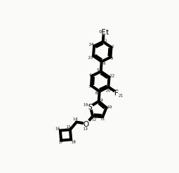 CCc1ccc(-c2ccc(-c3ccc(OCC4CCC4)s3)c(F)c2)cc1